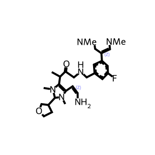 CN/C=C(\CNC)c1cc(F)cc(CNCC(=O)C(C)C2=C(/C=C\N)N(C)C(C3CCOC3)N2C)c1